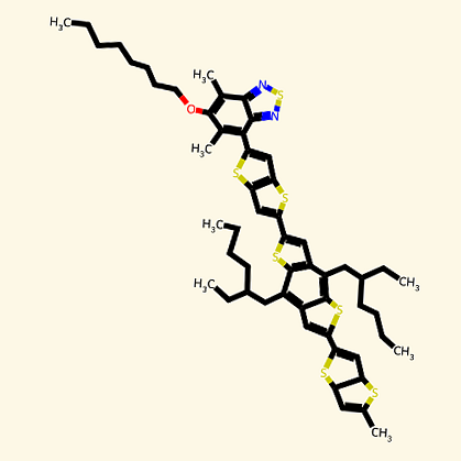 CCCCCCCCOc1c(C)c(-c2cc3sc(-c4cc5c(CC(CC)CCCC)c6sc(C7=CC8SC(C)=CC8S7)cc6c(CC(CC)CCCC)c5s4)cc3s2)c2nsnc2c1C